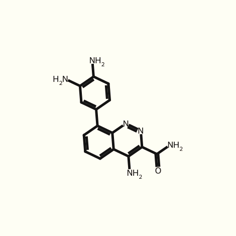 NC(=O)c1nnc2c(-c3ccc(N)c(N)c3)cccc2c1N